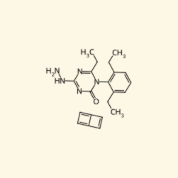 CCc1cccc(CC)c1-n1c(CC)nc(NN)nc1=O.c1cc2ccc1-2